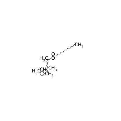 CCCCCCCCCCCCCC(=O)OCC=C(C)C=CC=C(C)C=CC1=C(C)CCCC1(C)C